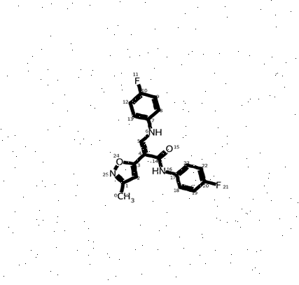 Cc1cc(C(=CNc2ccc(F)cc2)C(=O)Nc2ccc(F)cc2)on1